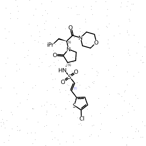 CC(C)C[C@@H](C(=O)N1CCOCC1)N1CC[C@H](NS(=O)(=O)/C=C/c2ccc(Cl)s2)C1=O